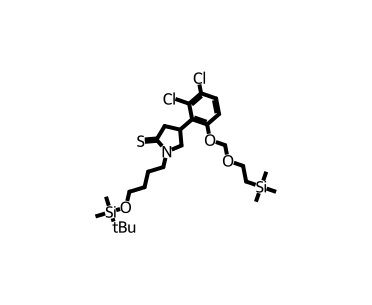 CC(C)(C)[Si](C)(C)OCCCCN1CC(c2c(OCOCC[Si](C)(C)C)ccc(Cl)c2Cl)CC1=S